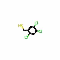 SCc1cc(Cl)c(Cl)cc1Cl